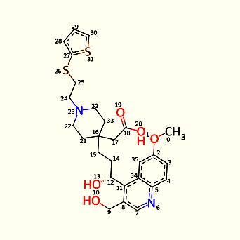 COc1ccc2ncc(CO)c([C@H](O)CCC3(CC(=O)O)CCN(CCSc4cccs4)CC3)c2c1